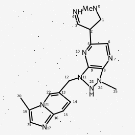 CNCC(C=N)c1cnc2c(n1)N(Cc1ccc3ncc(C)n3c1)NN2C